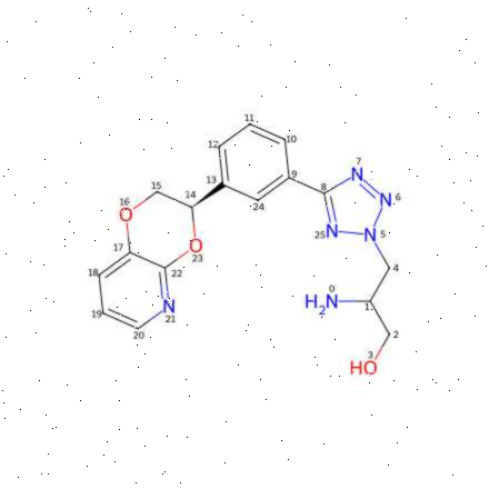 NC(CO)Cn1nnc(-c2cccc([C@@H]3COc4cccnc4O3)c2)n1